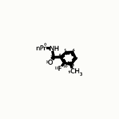 CCCNC(=O)c1cccc(C)c1F